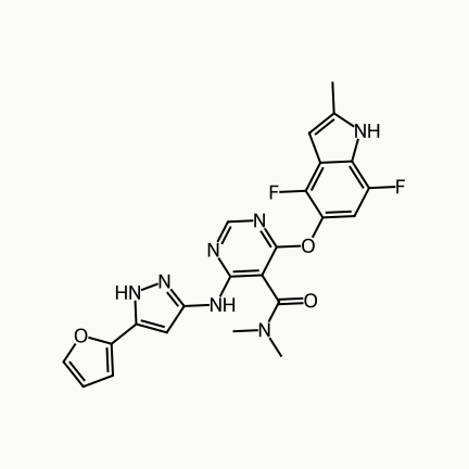 Cc1cc2c(F)c(Oc3ncnc(Nc4cc(-c5ccco5)[nH]n4)c3C(=O)N(C)C)cc(F)c2[nH]1